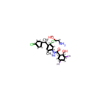 Cc1cc(C(C#N)c2ccc(Cl)cc2)c(Cl)cc1NC(=O)c1cc(I)cc(I)c1O.NCCO